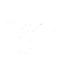 COC(=O)CN1C(=O)N2C[C@@H](Cc3ccccc3)N=C2c2c1nc(C1CCCC1)n2Cc1ccccc1